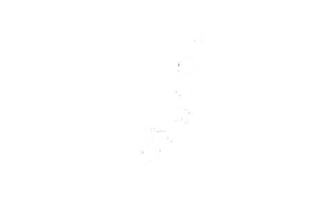 COc1cc(F)c2[nH]c(-c3cc(NC(=O)c4ccc(OC)c(Cl)c4)n[nH]3)nc2c1